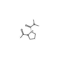 CC(=O)N1CCC[C@H]1C(=O)N(C)C